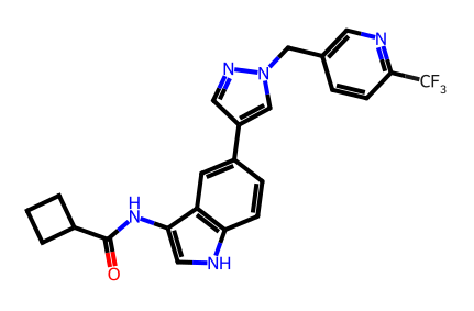 O=C(Nc1c[nH]c2ccc(-c3cnn(Cc4ccc(C(F)(F)F)nc4)c3)cc12)C1CCC1